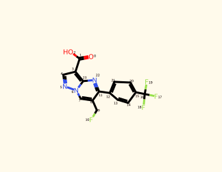 O=C(O)c1cnn2cc(CF)c(-c3ccc(C(F)(F)F)cc3)nc12